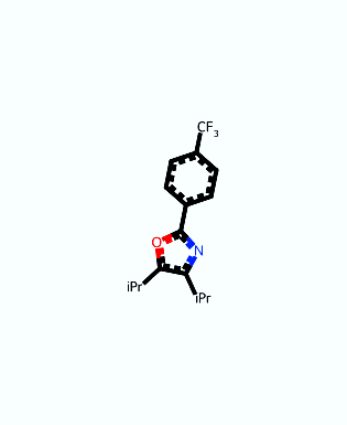 CC(C)c1nc(-c2ccc(C(F)(F)F)cc2)oc1C(C)C